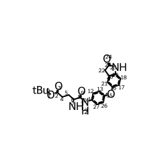 CC(C)(C)OC(=O)CC[C@H](N)C(=O)Nc1ccc(Oc2ccc3c(c2)CC(=O)N3)cc1